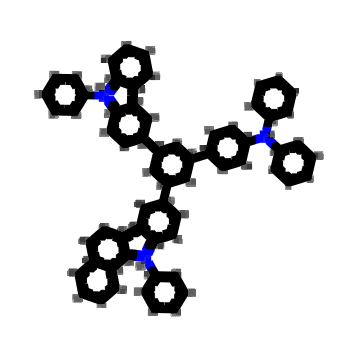 c1ccc(N(c2ccccc2)c2ccc(-c3cc(-c4ccc5c(c4)c4ccccc4n5-c4ccccc4)cc(-c4ccc5c(c4)c4ccc6ccccc6c4n5-c4ccccc4)c3)cc2)cc1